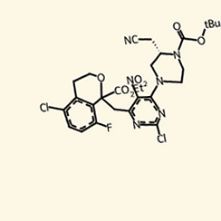 CCOC(=O)C1(Cc2nc(Cl)nc(N3CCN(C(=O)OC(C)(C)C)[C@@H](CC#N)C3)c2[N+](=O)[O-])OCCc2c(Cl)ccc(F)c21